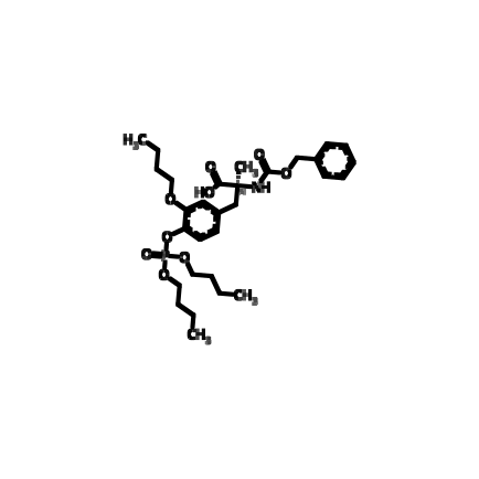 CCCCOc1cc(C[C@](C)(NC(=O)OCc2ccccc2)C(=O)O)ccc1OP(=O)(OCCCC)OCCCC